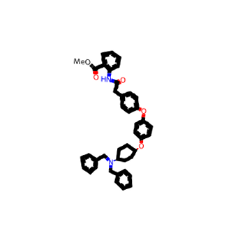 COC(=O)c1ccccc1NC(=O)Cc1ccc(Oc2ccc(O[C@H]3CC[C@@H](N(Cc4ccccc4)Cc4ccccc4)CC3)cc2)cc1